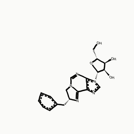 OC[C@H]1O[C@@H](n2cnc3c2N=CN2C[C@@H](Cc4ccccc4)N=C32)[C@H](O)[C@@H]1O